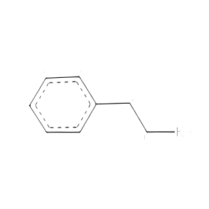 [K][CH2]Cc1ccccc1